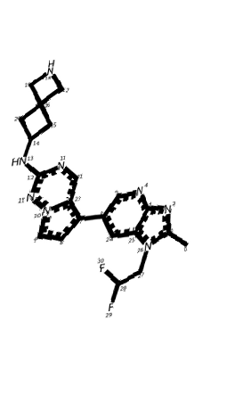 Cc1nc2ncc(-c3ccn4nc(NC5CC6(CNC6)C5)ncc34)cc2n1CC(F)F